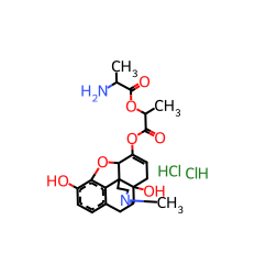 CC(N)C(=O)OC(C)C(=O)OC1=CCC2(O)C3Cc4ccc(O)c5c4C2(CCN3C)C1O5.Cl.Cl